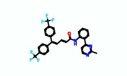 Cc1nccc(-c2ccccc2NC(=O)C=CC=C(c2ccc(C(F)(F)F)cc2)c2ccc(C(F)(F)F)cc2)n1